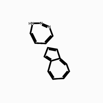 C1=CN=NNC=C1.c1ccc2cccc-2cc1